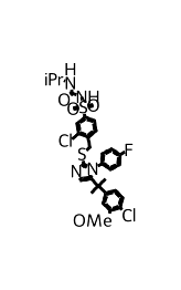 COc1cc(C(C)(C)c2cnc(SCc3ccc(S(=O)(=O)NC(=O)NC(C)C)cc3Cl)n2-c2ccc(F)cc2)ccc1Cl